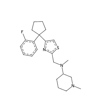 CN1CCCC(N(C)Cc2nc(C3(c4ccccc4F)CCCC3)cs2)C1